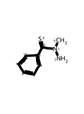 CN(N)C(=S)c1ccccc1